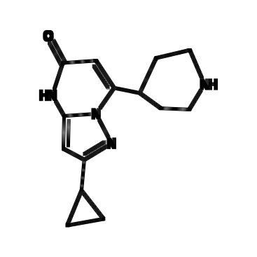 O=c1cc(C2CCNCC2)n2nc(C3CC3)cc2[nH]1